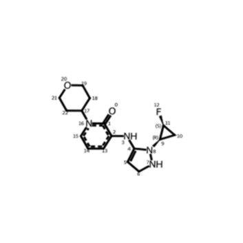 O=c1c(NC2=CCNN2[C@@H]2C[C@@H]2F)cccn1C1CCOCC1